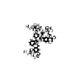 COCCCN1C(=O)COc2ccc(N(C(=O)[C@H]3CN(C(=O)OC(C)(C)C)CC[C@@H]3c3cn(Cc4cc(OC)cc(OC)c4)c4ccccc34)C3CC3)cc21